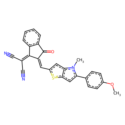 COc1ccc(-c2cc3sc(/C=C4\C(=O)c5ccccc5C4=C(C#N)C#N)cc3n2C)cc1